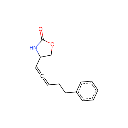 O=C1NC(C=C=CCCc2ccccc2)CO1